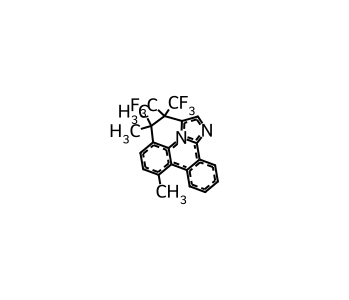 Cc1ccc2c3c1c1ccccc1c1ncc(n13)C(C(F)(F)F)(C(F)(F)F)C2(C)C